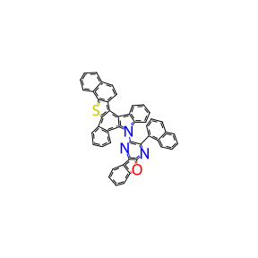 c1ccc2c(-c3nc4oc5ccccc5c4nc3-n3c4ccccc4c4c5c6ccc7ccccc7c6sc5c5ccccc5c43)cccc2c1